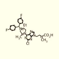 CC[C@@H]1CN(c2nc(Cl)nc3c2ncn3CCN(C)C(=O)O)[C@@H](C)CN1C(c1ccc(F)cc1)c1ccc(F)cc1